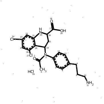 CC(=O)N(c1ccc(CCCN)cc1)C1CC(C(=O)O)Nc2cc(Cl)cc(Cl)c21.Cl